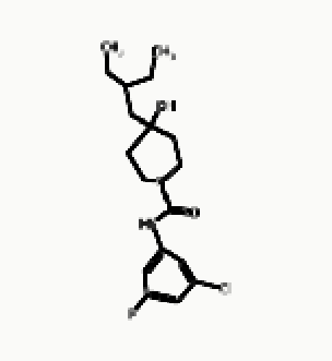 CCC(CC)CC1(O)CCN(C(=O)Nc2cc(F)cc(Cl)c2)CC1